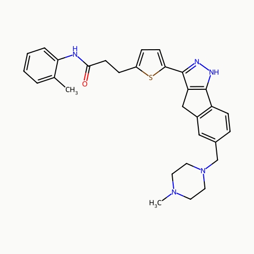 Cc1ccccc1NC(=O)CCc1ccc(-c2n[nH]c3c2Cc2cc(CN4CCN(C)CC4)ccc2-3)s1